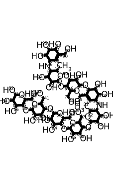 CC1OC(OC2C(CO)OC(OC3C(CO)=CC(NC4C(C)OC(OC5C(CO)OC(OC6C(CO)OC(OC7C(CO)OC(OC8C(CO)OC(O)C(O)C8O)C(O)C7O)C(O)C6O)C(O)C5O)C(O)C4O)C(O)C3O)C(O)C2O)C(O)C(O)C1NC1C=C(CO)C(O)C(O)C1O